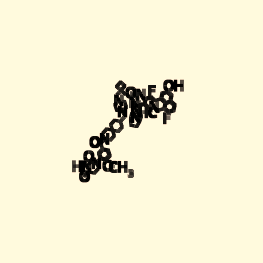 C#Cc1c(F)ccc2cc(O)cc(-c3ncc4c(N5CC6CCC(C5)N6)nc(OCC5(CN6CCN(CC7CCC8(CC7)CCN(C(=O)c7ccc(OC)c(N9CCC(=O)NC9=O)c7)CC8)CC6)CCC5)nc4c3F)c12